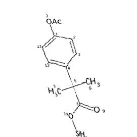 CC(=O)Oc1ccc(C(C)(C)C(=O)O[SiH3])cc1